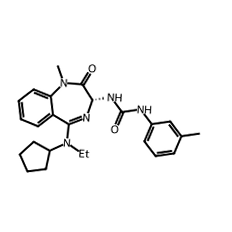 CCN(C1=N[C@@H](NC(=O)Nc2cccc(C)c2)C(=O)N(C)c2ccccc21)C1CCCC1